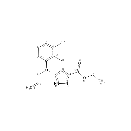 C=CCOc1cccc(F)c1Cc1c[nH]nc1C(=O)OCC